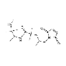 CNC(C)(C)C(C)NC(=O)C(C)(C)CC(C)CN1C(=O)C=CC1=O